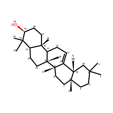 CC1(C)CC[C@]2(C)CC[C@@]3(C)C(=CCC4[C@@]5(C)CC[C@H](O)C(C)(C)C5CC[C@]43C)[C@@H]2C1